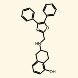 Oc1cccc2c1CCC(NCc1nc(-c3ccccc3)c(-c3ccccc3)o1)C2